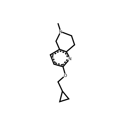 CN1CCc2nc(OCC3CC3)ccc2C1